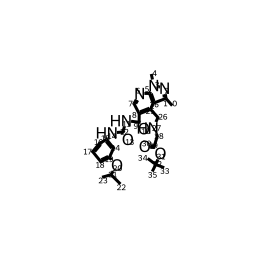 Cc1nn(C)c2ncc(C(=O)NC(=O)Nc3cccc(OC(C)C)c3)c(CNCC(=O)OC(C)(C)C)c12